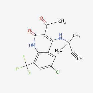 C#CC(C)(C)Nc1c(C(C)=O)c(=O)[nH]c2c(C(F)(F)F)cc(Cl)cc12